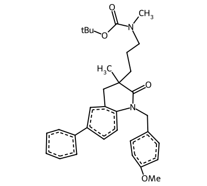 COc1ccc(CN2C(=O)C(C)(CCCN(C)C(=O)OC(C)(C)C)Cc3cc(-c4ccccc4)ccc32)cc1